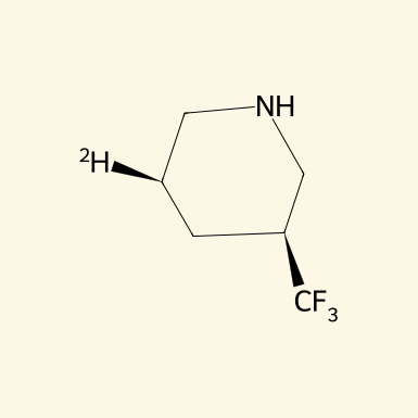 [2H][C@H]1CNC[C@@H](C(F)(F)F)C1